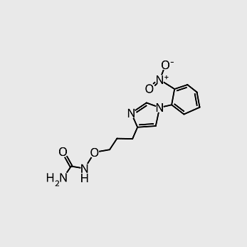 NC(=O)NOCCCc1cn(-c2ccccc2[N+](=O)[O-])cn1